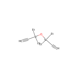 C#C[Si](CC)(CC)O[Si](C#C)(CC)CC